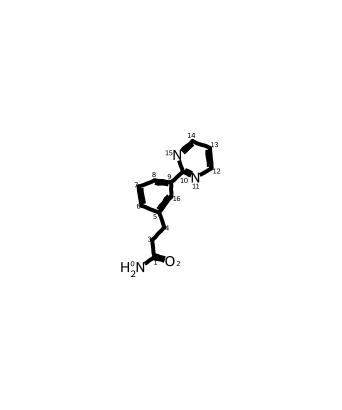 NC(=O)CCc1cccc(-c2ncccn2)c1